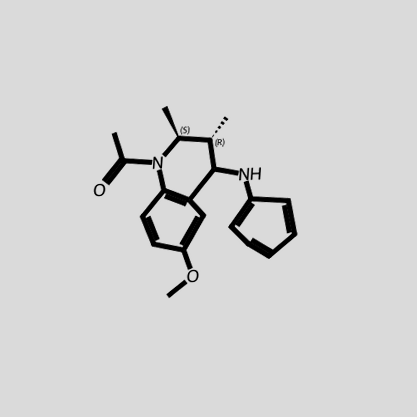 COc1ccc2c(c1)C(Nc1ccccc1)[C@@H](C)[C@H](C)N2C(C)=O